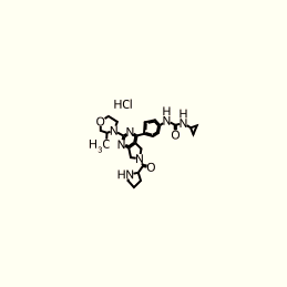 CC1COCCN1c1nc2c(c(-c3ccc(NC(=O)NC4CC4)cc3)n1)CN(C(=O)C1CCCN1)C2.Cl